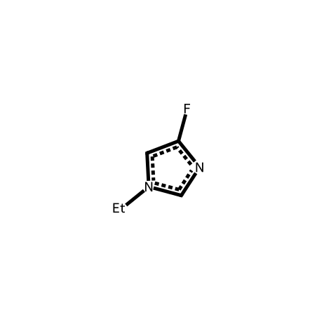 CCn1cnc(F)c1